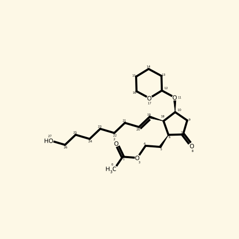 CC(=O)OCC[C@@H]1C(=O)C[C@H](OC2CCCCO2)[C@@H]1C=CCCCCCCO